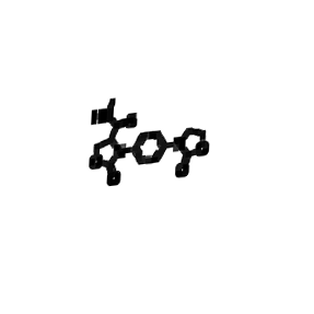 CNC(=S)C1COC(=O)N1c1ccc(N2CCOC2=O)cc1